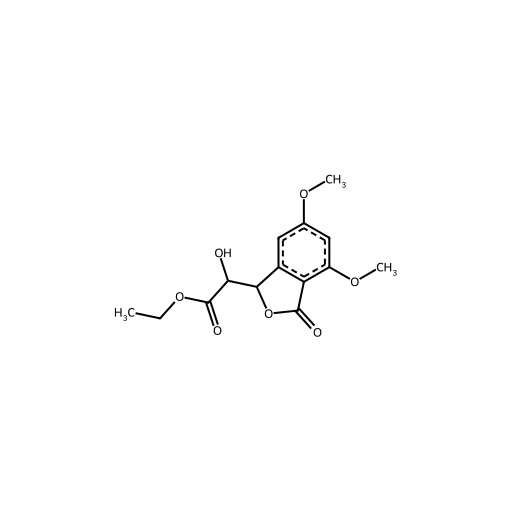 CCOC(=O)C(O)C1OC(=O)c2c(OC)cc(OC)cc21